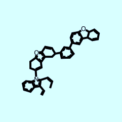 C=Cc1c(/C=C\C)n(C2=Cc3c(oc4c3CC(c3cccc(-c5ccc6c(c5)C5C=CC=CC5O6)c3)C=C4)CC2)c2ccccc12